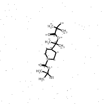 CCC(C)(C)OC(=O)N1CCC(C(C)(C)OC(=O)C(C)(C)I)CC1